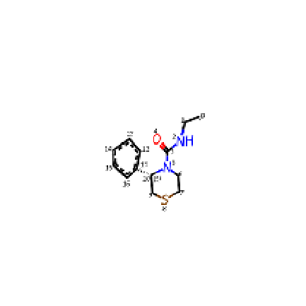 [CH2]CNC(=O)N1CCSC[C@@H]1c1ccccc1